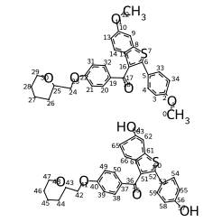 COc1ccc(-c2sc3cc(OC)ccc3c2C(=O)c2ccc(OCC3CCCCO3)cc2)cc1.O=C(c1ccc(OCC2CCCCO2)cc1)c1c(-c2ccc(O)cc2)sc2cc(O)ccc12